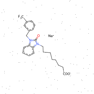 O=C([O-])CCCCCCCn1c(=O)n(Cc2cccc(C(F)(F)F)c2)c2ccccc21.[Na+]